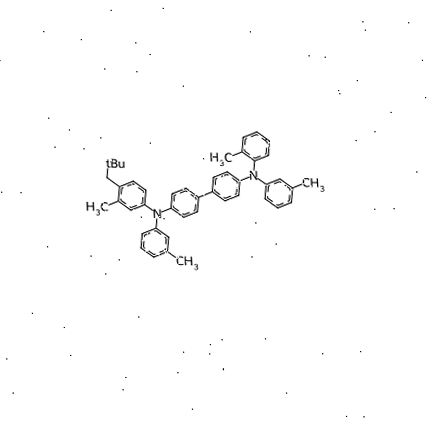 Cc1cccc(N(c2ccc(-c3ccc(N(c4cccc(C)c4)c4ccccc4C)cc3)cc2)c2ccc(CC(C)(C)C)c(C)c2)c1